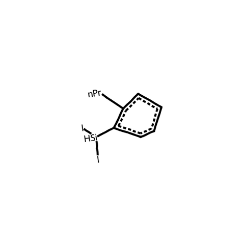 CCCc1ccccc1[SiH](I)I